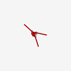 CCCCCCCCCCCCCCCCCCOc1ccc2c([Si](O)(c3cccc4cc(OCCCCCCCCCCCCCCCCCC)ccc34)c3cccc4cc(OCCCCCCCCCCCCCCCCCC)ccc34)cccc2c1